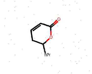 CCCC1CC=CC(=O)O1